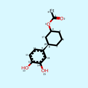 CCC(=O)OC1CCC[C@@H](c2ccc(O)c(O)c2)C1